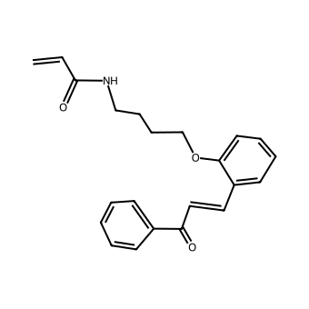 C=CC(=O)NCCCCOc1ccccc1C=CC(=O)c1ccccc1